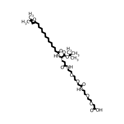 CC(C)(C)OC(=O)[C@H](CCC(=O)NCCOCCOCC(=O)NCCOCCOCC(=O)O)NC(=O)CCCCCCCCCCCCC1=CC(C)(C)O1